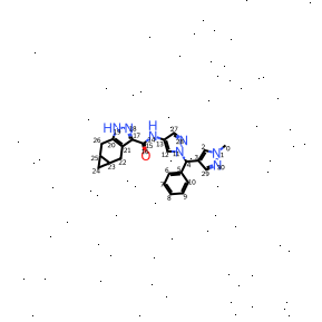 Cn1cc(C(c2ccccc2)n2cc(NC(=O)c3n[nH]c4c3CC3CC3C4)cn2)cn1